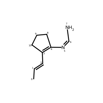 C/C=C/C1=C(/N=C\N)CCC1